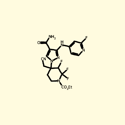 CCOC(=O)N1CCC(CC#N)(n2cc(C(N)=O)c(Nc3ccnc(F)c3)n2)C(F)C1(F)F